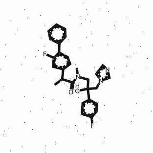 CC(C(=O)N(C)CC(O)(Cn1ccnc1)c1ccc(F)cc1)c1ccc(-c2ccccc2)c(F)c1